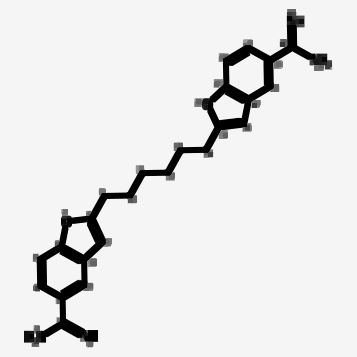 N=C(N)c1ccc2oc(CCCCCCc3cc4cc(C(=N)N)ccc4o3)cc2c1